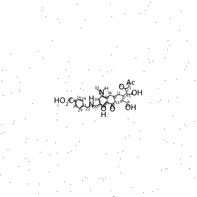 CC(=O)CC(=O)C(CO)C(CCO)CC1CC(=O)c2c(O)c(CNCc3ccc(C(=O)O)cc3)cc(N(C)C)c2C1